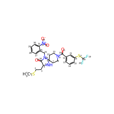 CSCCC1NC2(CCN(C(=O)c3cccc(SC(F)F)c3)CC2)N(Cc2ccccc2[N+](=O)[O-])C1=O